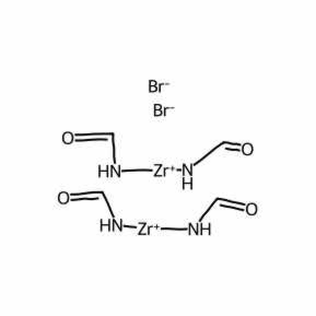 O=C[NH][Zr+][NH]C=O.O=C[NH][Zr+][NH]C=O.[Br-].[Br-]